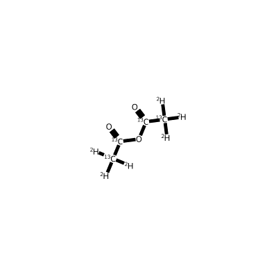 [2H][13C]([2H])([2H])[13C](=O)O[13C](=O)[13C]([2H])([2H])[2H]